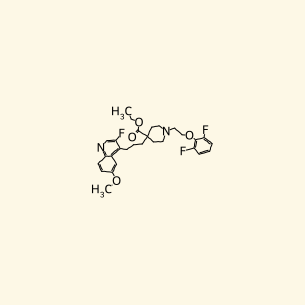 CCOC(=O)C1(CCCc2c(F)cnc3ccc(OC)cc23)CCN(CCOc2c(F)cccc2F)CC1